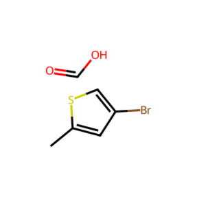 Cc1cc(Br)cs1.O=CO